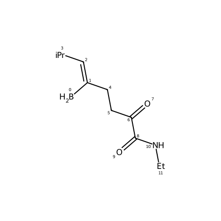 B/C(=C\C(C)C)CCC(=O)C(=O)NCC